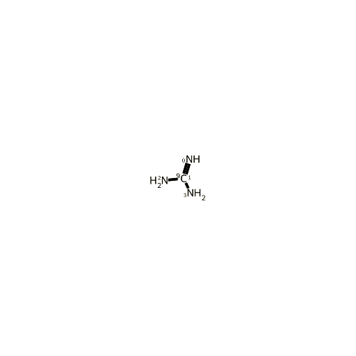 N=[9C](N)N